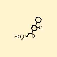 O=C(O)CCC(=O)c1ccc(C2CCCCC2)c(Cl)c1